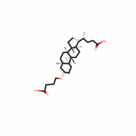 C[C@H](CCC(=O)O)[C@H]1CC[C@H]2[C@@H]3CC[C@@H]4C[C@@H](OCCCC(=O)O)CC[C@]4(C)[C@H]3CC[C@]12C